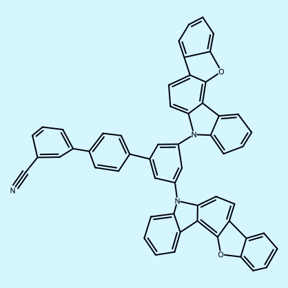 N#Cc1cccc(-c2ccc(-c3cc(-n4c5ccccc5c5c6oc7ccccc7c6ccc54)cc(-n4c5ccccc5c5c6oc7ccccc7c6ccc54)c3)cc2)c1